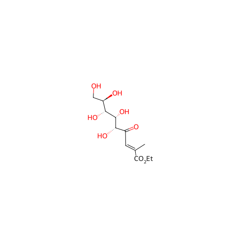 CCOC(=O)C(C)=CC(=O)[C@H](O)[C@@H](O)[C@H](O)[C@H](O)CO